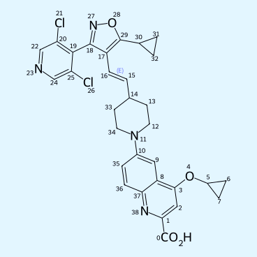 O=C(O)c1cc(OC2CC2)c2cc(N3CCC(/C=C/c4c(-c5c(Cl)cncc5Cl)noc4C4CC4)CC3)ccc2n1